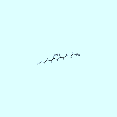 CCCCCCCCCCCCF.N